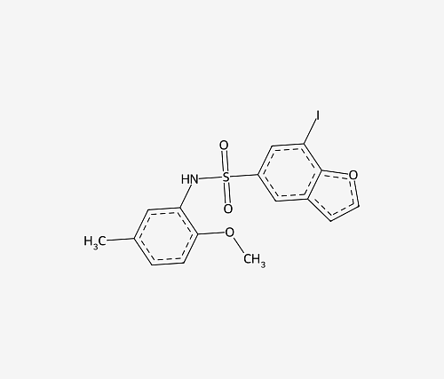 COc1ccc(C)cc1NS(=O)(=O)c1cc(I)c2occc2c1